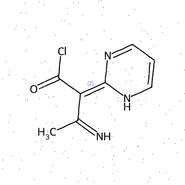 CC(=N)/C(C(=O)Cl)=C1/N=CC=CN1